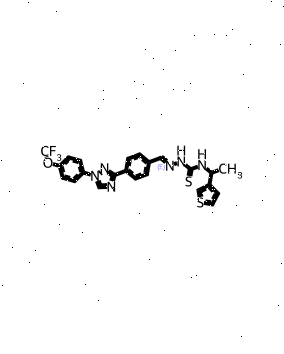 CC(NC(=S)N/N=C/c1ccc(-c2ncn(-c3ccc(OC(F)(F)F)cc3)n2)cc1)c1ccsc1